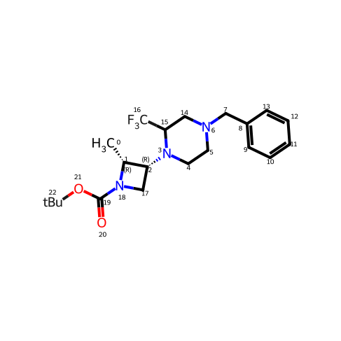 C[C@@H]1[C@H](N2CCN(Cc3ccccc3)CC2C(F)(F)F)CN1C(=O)OC(C)(C)C